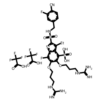 CCc1c(S(=O)(=O)NCc2ccc(C#N)c(F)c2)sc2c(F)c(OCCCNC(=N)N)c(OCCCNC(=N)N)c(P(=O)(O)O)c12.O=C(O)C(F)(F)F.O=C(O)C(F)(F)F